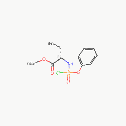 CCCCOC(=O)[C@H](CC(C)C)NP(=O)(Cl)Oc1ccccc1